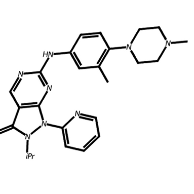 Cc1cc(Nc2ncc3c(=O)n(C(C)C)n(-c4ccccn4)c3n2)ccc1N1CCN(C)CC1